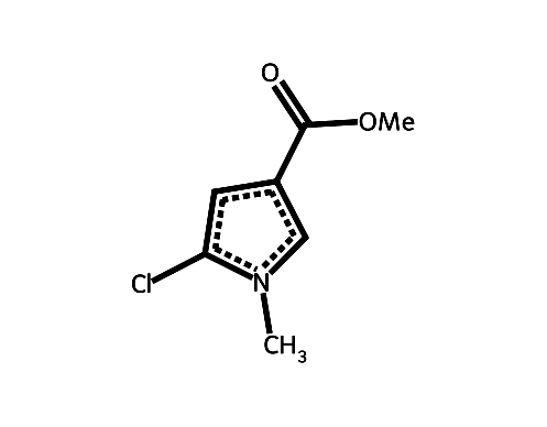 COC(=O)c1cc(Cl)n(C)c1